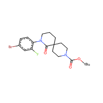 CC(C)(C)OC(=O)N1CCC2(CCCN(c3ccc(Br)cc3F)C2=O)CC1